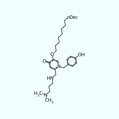 CCCCCCCCCCCCCCCCCCOc1cn(Cc2ccc(O)cc2)c(CNCCCN(C)C)cc1=O